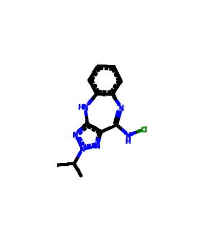 CC(C)n1nc2c(n1)C(NCl)=Nc1ccccc1N2